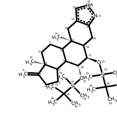 C=C1CCC2C3C(CC[C@]12C)[C@@]1(C)Cc2c[nH]nc2CC1[C@@H](O[Si](C)(C)C(C)(C)C)[C@@H]3O[Si](C)(C)C(C)(C)C